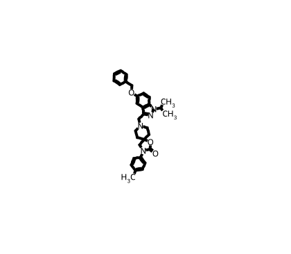 Cc1ccc(N2CC3(CCN(Cc4nn(C(C)C)c5ccc(OCc6ccccc6)cc45)CC3)OC2=O)cc1